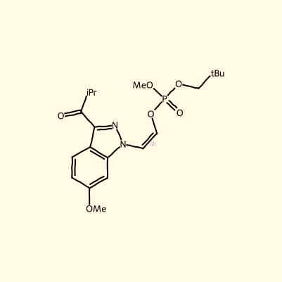 COc1ccc2c(C(=O)C(C)C)nn(/C=C\OP(=O)(OC)OCC(C)(C)C)c2c1